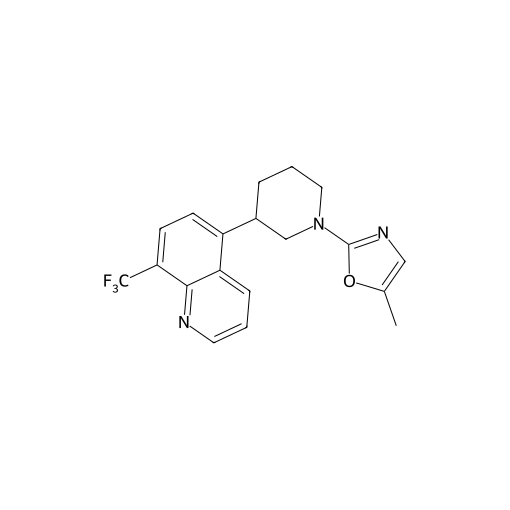 Cc1cnc(N2CCCC(c3ccc(C(F)(F)F)c4ncccc34)C2)o1